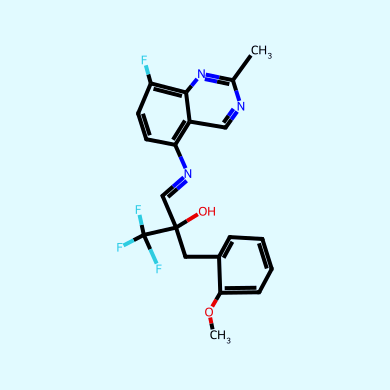 COc1ccccc1CC(O)(C=Nc1ccc(F)c2nc(C)ncc12)C(F)(F)F